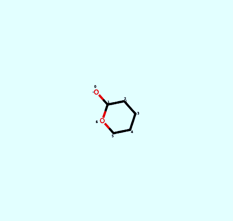 [O]C1[C]CCCO1